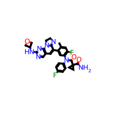 Cc1cc(F)c(N(C(=O)C2(C(N)=O)CC2)c2ccc(F)cc2)cc1C1=Cc2cnc(NC3COC3)nc2N2CCN=C12